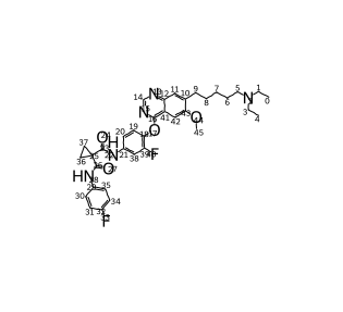 CCN(CC)CCCCCc1cc2ncnc(Oc3ccc(NC(=O)C4(C(=O)Nc5ccc(F)cc5)CC4)cc3F)c2cc1OC